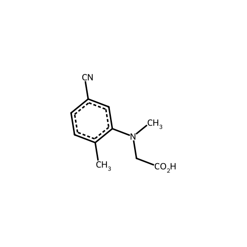 Cc1ccc(C#N)cc1N(C)CC(=O)O